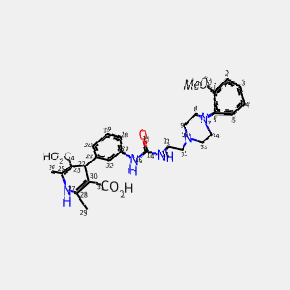 COc1ccccc1N1CCN(CCNC(=O)Nc2cccc(C3C(C(=O)O)=C(C)NC(C)=C3C(=O)O)c2)CC1